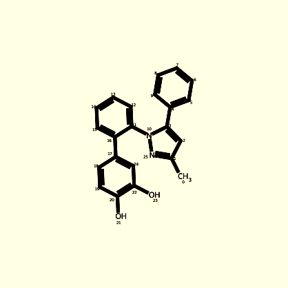 Cc1cc(-c2ccccc2)n(-c2ccccc2-c2ccc(O)c(O)c2)n1